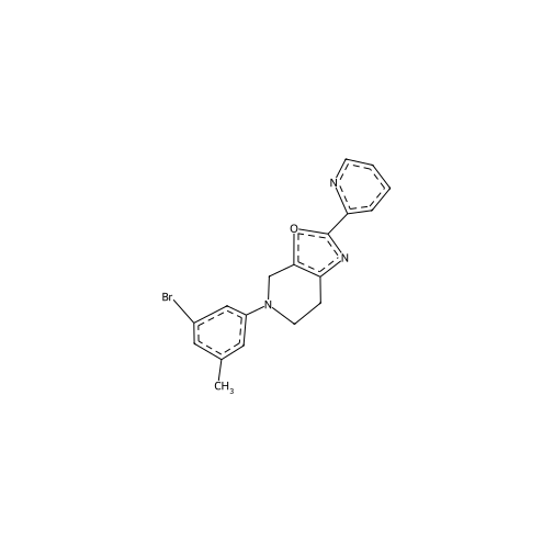 Cc1cc(Br)cc(N2CCc3nc(-c4ccccn4)oc3C2)c1